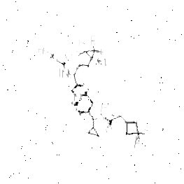 CC(C)(C)OC(=O)N[C@H](c1cn2ncc([C@H](NC(=O)CC3CC(F)(F)C3)C3CC3)cc2n1)[C@@H]1C[C@@H]2[C@H](C1)C2(F)F